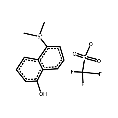 C[S+](C)c1cccc2c(O)cccc12.O=S(=O)([O-])C(F)(F)F